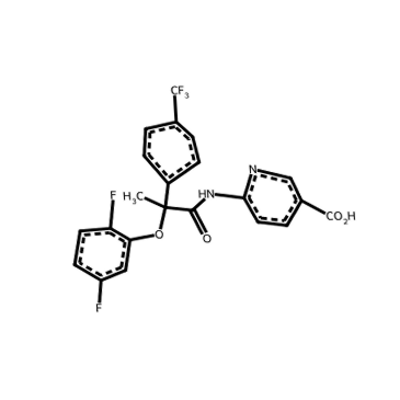 CC(Oc1cc(F)ccc1F)(C(=O)Nc1ccc(C(=O)O)cn1)c1ccc(C(F)(F)F)cc1